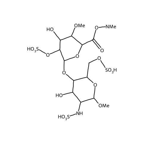 CNOC(=O)C1OC(OC2C(COS(=O)(=O)O)OC(OC)C(NS(=O)(=O)O)C2O)C(OS(=O)(=O)O)C(O)C1OC